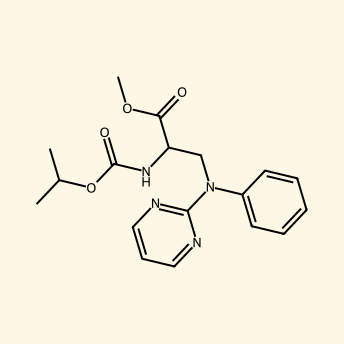 COC(=O)C(CN(c1ccccc1)c1ncccn1)NC(=O)OC(C)C